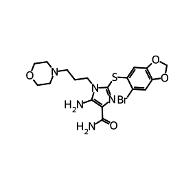 NC(=O)c1nc(Sc2cc3c(cc2Br)OCO3)n(CCCN2CCOCC2)c1N